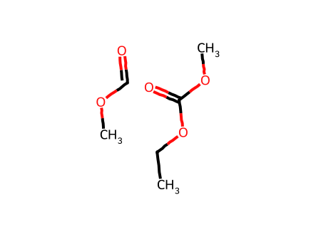 CCOC(=O)OC.COC=O